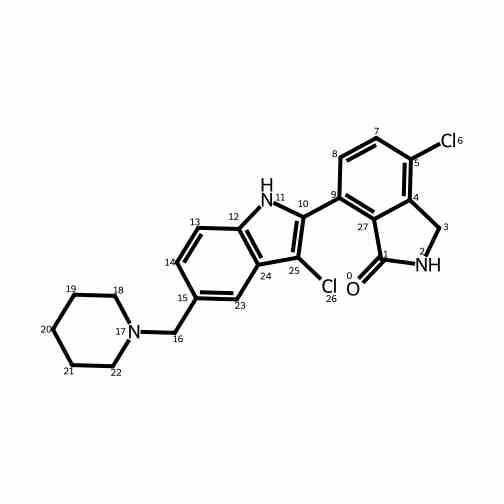 O=C1NCc2c(Cl)ccc(-c3[nH]c4ccc(CN5CCCCC5)cc4c3Cl)c21